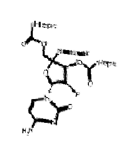 CCCCCCCC(=O)OCC1(N=[N+]=[N-])O[C@@H](n2ccc(N)nc2=O)[C@H](F)[C@@H]1OC(=O)CCCCCCC